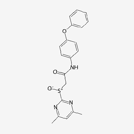 Cc1cc(C)nc([S+]([O-])CC(=O)Nc2ccc(Oc3ccccc3)cc2)n1